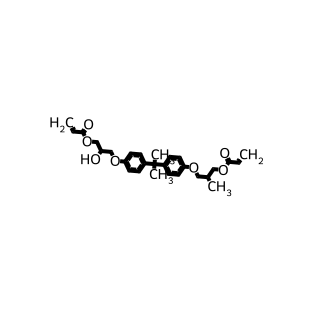 C=CC(=O)OCC(C)COc1ccc(C(C)(C)c2ccc(OCC(O)COC(=O)C=C)cc2)cc1